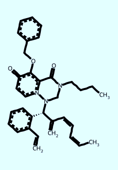 C=Cc1ccccc1[C@@H](C(=C)/C=C\C=C/C)N1CN(CCCC)C(=O)c2c(OCc3ccccc3)c(=O)ccn21